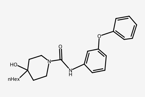 CCCCCCC1(O)CCN(C(=O)Nc2cccc(Oc3ccccc3)c2)CC1